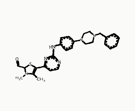 CC1=C(c2ccnc(Nc3ccc(N4CCN(Cc5ccccc5)CC4)cc3)n2)SC(C=O)N1C